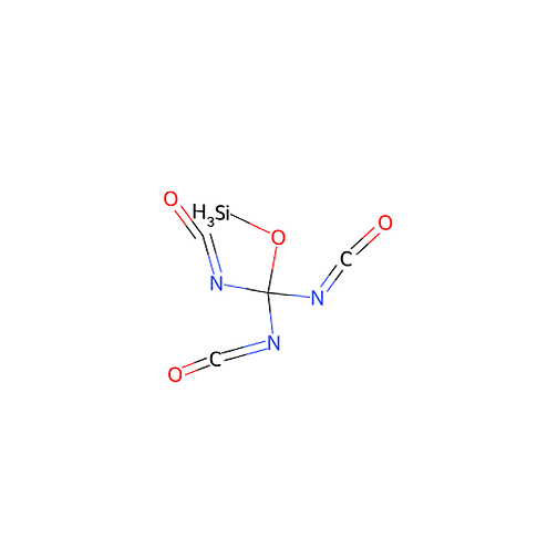 O=C=NC(N=C=O)(N=C=O)O[SiH3]